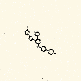 CN1CCN(c2ccc(Nc3ncc(-c4cncs4)c(-c4cnc(N5CCC(F)C5)s4)n3)cc2)CC1